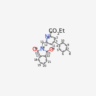 CCOC(=O)c1cc(-c2ccc(C)cc2)cc(CN2C(=O)c3ccccc3C2=O)n1